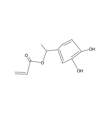 C=CC(=O)OC(C)c1ccc(O)c(O)c1